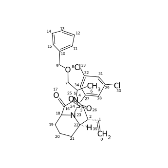 C=C[C@H]1CN(C(C)COCc2ccccc2)C(=O)C2CCC[C@H]1N2S(=O)(=O)c1cc(Cl)cc(Cl)c1